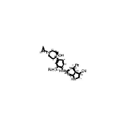 COc1cc([PH]2(O)CCN(C3CC3)CC2)ccc1Nc1nc(C(C)C)c2c(C#N)c[nH]c2n1